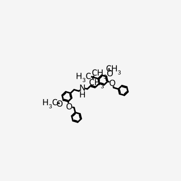 COc1ccc(CCNC/C=C/c2cc(OCc3ccccc3)c(OC)cc2C(C)(C)C)cc1OCc1ccccc1